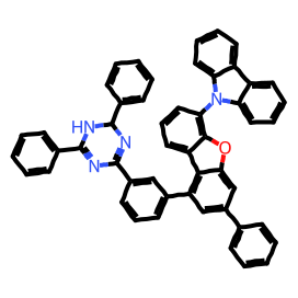 c1ccc(C2=NC(c3cccc(-c4cc(-c5ccccc5)cc5oc6c(-n7c8ccccc8c8ccccc87)cccc6c45)c3)=NC(c3ccccc3)N2)cc1